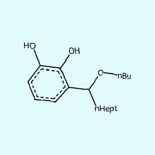 CCCCCCCC(OCCCC)c1cccc(O)c1O